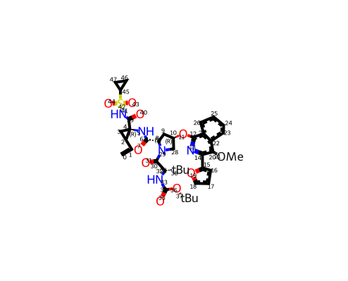 C=CC1C[C@]1(NC(=O)[C@@H]1C[C@@H](Oc2nc(-c3ccco3)c(OC)c3ccccc23)CN1C(=O)[C@@H](NC(=O)OC(C)(C)C)C(C)(C)C)C(=O)NS(=O)(=O)C1CC1